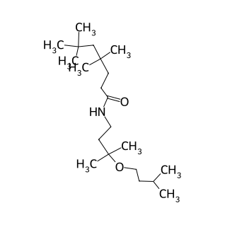 CC(C)CCOC(C)(C)CCNC(=O)CCC(C)(C)CC(C)(C)C